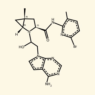 Cc1ccc(Br)nc1NC(=O)[C@@H]1C[C@@]2(C)C[C@H]2N1C(O)Cn1ccc2c(N)ncnc21